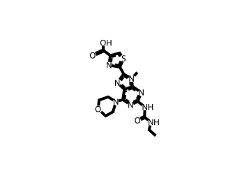 CCNC(=O)Nc1nc(N2CCOCC2)c2nc(-c3nc(C(=O)O)cs3)n(C)c2n1